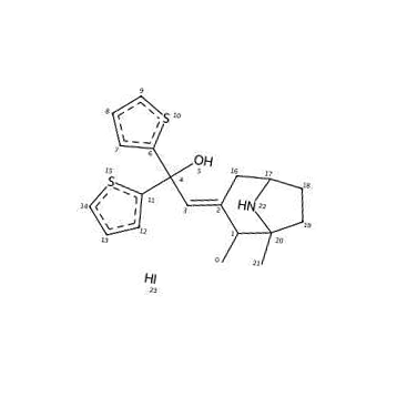 CC1C(=CC(O)(c2cccs2)c2cccs2)CC2CCC1(C)N2.I